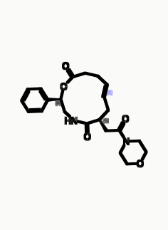 O=C1CC/C=C/C[C@@H](CC(=O)N2CCOCC2)C(=O)NC[C@@H](c2ccccc2)O1